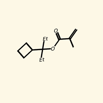 C=C(C)C(=O)OC(CC)(CC)C1CCC1